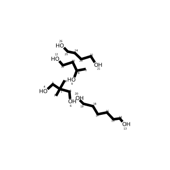 CC(C)(CO)CO.CC(O)CCO.OCCCCCCO.OCCCCO